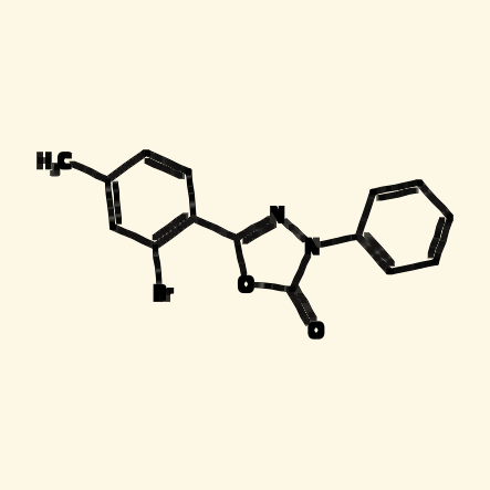 Cc1ccc(-c2nn(-c3ccccc3)c(=O)o2)c(Br)c1